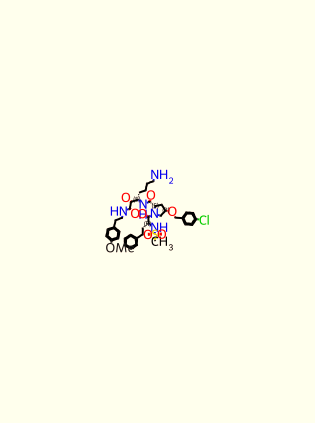 COc1ccc(CCNC(=O)C(=O)[C@H](CCCCN)NC(=O)[C@@H]2C[C@@H](OCc3ccc(Cl)cc3)CN2C(=O)[C@@H](CCc2ccccc2)NS(C)(=O)=O)cc1